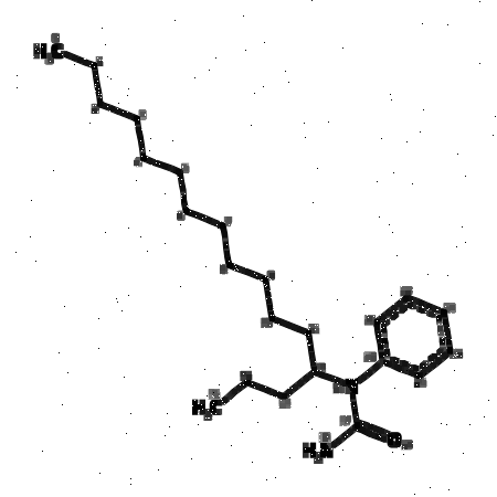 CCCCCCCCCCCCC(CCC)N(C(N)=O)c1ccccc1